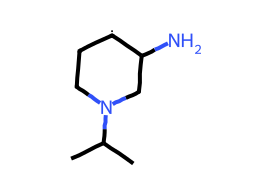 CC(C)N1CC[CH]C(N)C1